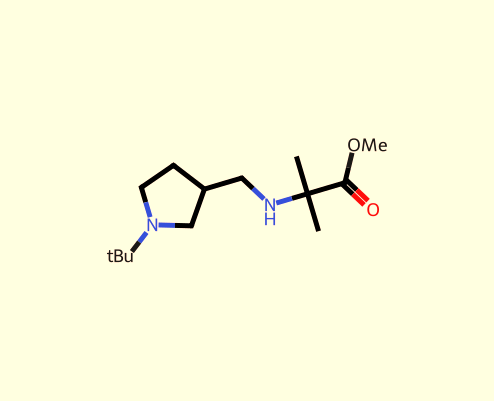 COC(=O)C(C)(C)NCC1CCN(C(C)(C)C)C1